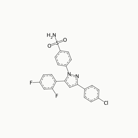 NS(=O)(=O)c1ccc(-n2nc(-c3ccc(Cl)cc3)cc2-c2ccc(F)cc2F)cc1